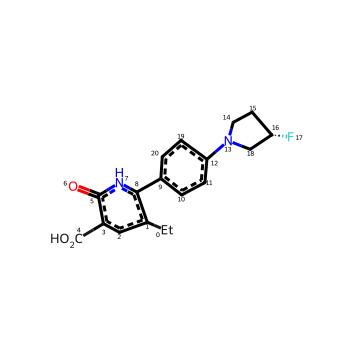 CCc1cc(C(=O)O)c(=O)[nH]c1-c1ccc(N2CC[C@H](F)C2)cc1